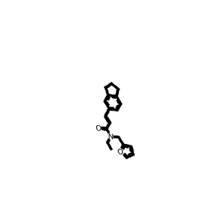 CCN(Cc1ccco1)C(=O)/C=C/c1ccc2c(c1)CCC2